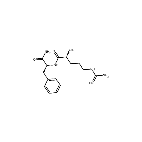 C[C@@H](CCCNC(=N)N)C(=O)N[C@@H](Cc1ccccc1)C(N)=O